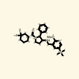 COc1ncc([Si](C)(C)C)cc1CNC1CCN(C(=O)[C@@H]2CCCC(F)(F)C2)C1c1ccccc1